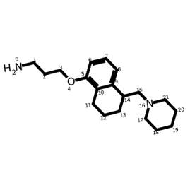 NCCCOc1cccc2c1CCCC2CN1CCCCC1